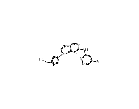 CC(C)c1cnnc(Nc2ccc3ncc(-n4cnc(CO)c4)cc3n2)c1